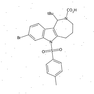 Cc1ccc(S(=O)(=O)n2c3c(c4ccc(Br)cc42)C(C(C)(C)C)N(C(=O)O)CCC3)cc1